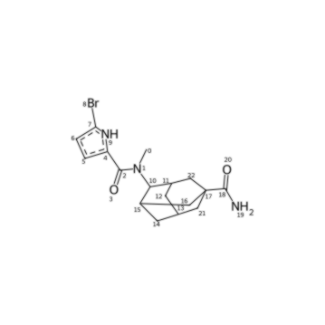 CN(C(=O)c1ccc(Br)[nH]1)C1C2CC3CC1CC(C(N)=O)(C3)C2